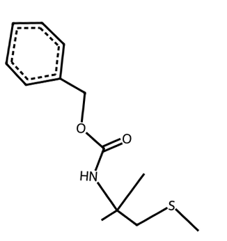 CSCC(C)(C)NC(=O)OCc1ccccc1